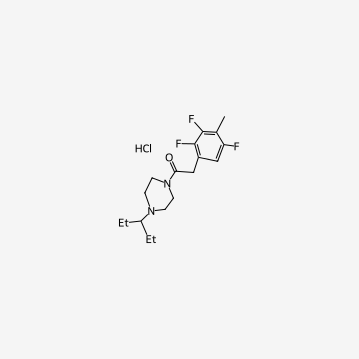 CCC(CC)N1CCN(C(=O)Cc2cc(F)c(C)c(F)c2F)CC1.Cl